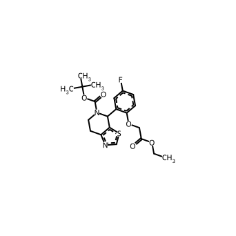 CCOC(=O)COc1ccc(F)cc1C1c2scnc2CCN1C(=O)OC(C)(C)C